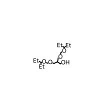 CCC(CC)OCOCC(CO)COCOC(CC)CC